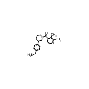 Cc1nccc(C(=O)N2CCCC(c3ccc(CN)cc3)C2)c1C